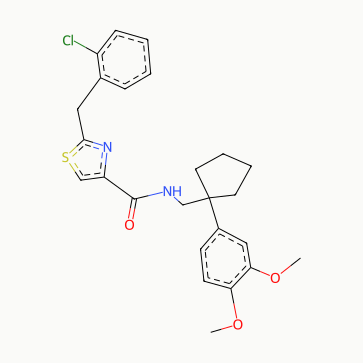 COc1ccc(C2(CNC(=O)c3csc(Cc4ccccc4Cl)n3)CCCC2)cc1OC